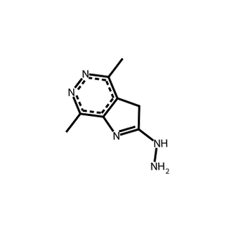 Cc1nnc(C)c2c1CC(NN)=N2